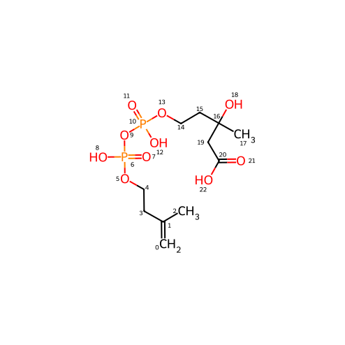 C=C(C)CCOP(=O)(O)OP(=O)(O)OCCC(C)(O)CC(=O)O